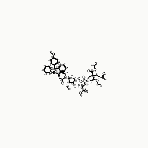 CCOC(=O)C(COC(C)=O)(COP(=O)(N[C@@H](C)C(=O)OC)OC[C@H]1O[C@@H](n2ccc(NC(c3ccccc3)(c3ccccc3)c3ccc(OC)cc3)nc2=O)[C@@H](OC)C1O)C(=O)OCC